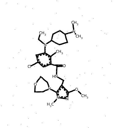 CCN(c1cc(Cl)cc(C(=O)NCc2c(OC)nn(C)c2N2CCOCC2)c1C)C1CCC(N(C)C)CC1